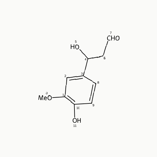 COc1cc(C(O)CC=O)ccc1O